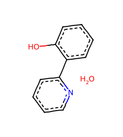 O.Oc1ccccc1-c1ccccn1